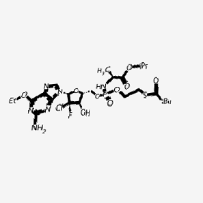 CCOc1nc(N)nc2c1ncn2[C@@H]1O[C@H](COP(=O)(N[C@@H](C)C(=O)OC(C)C)OCCSC(=O)C(C)(C)C)[C@@H](O)[C@]1(F)Cl